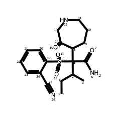 [CH2]CC(C)C(C(N)=O)(C1CCCNCC1=O)S(=O)(=O)c1ccccc1C#N